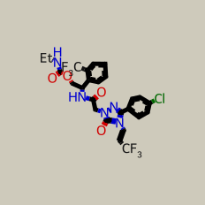 CCNC(=O)OCC(NC(=O)Cn1nc(-c2ccc(Cl)cc2)n(C=CC(F)(F)F)c1=O)c1ccccc1C(F)(F)F